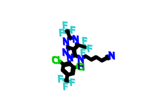 N#CCCCCNc1c2c(C(F)(F)F)nc(C(F)(F)F)nc2nn1-c1c(Cl)cc(C(F)(F)F)cc1Cl